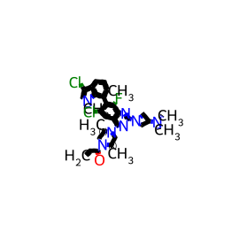 C=CC(=O)N1C[C@H](C)N(c2nc(N3CC(N(C)C)C3)nc3c(F)c(-c4c(C)ccc5c(Cl)cn(C)c45)c(Cl)cc23)C[C@H]1C